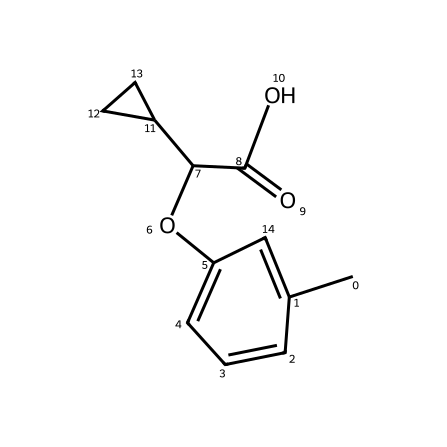 Cc1cccc(OC(C(=O)O)C2CC2)c1